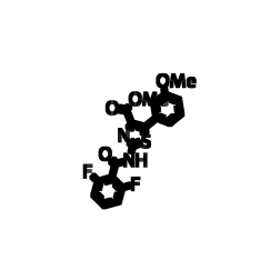 COC(=O)c1nc(NC(=O)c2c(F)cccc2F)sc1-c1cccc(OC)c1